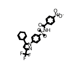 O=C(NS(=O)(=O)c1ccc(-n2nc(C(F)(F)F)cc2C2=CCCC=C2)cc1)c1ccc([N+](=O)[O-])cc1